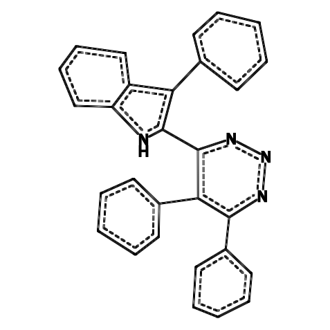 c1ccc(-c2nnnc(-c3[nH]c4ccccc4c3-c3ccccc3)c2-c2ccccc2)cc1